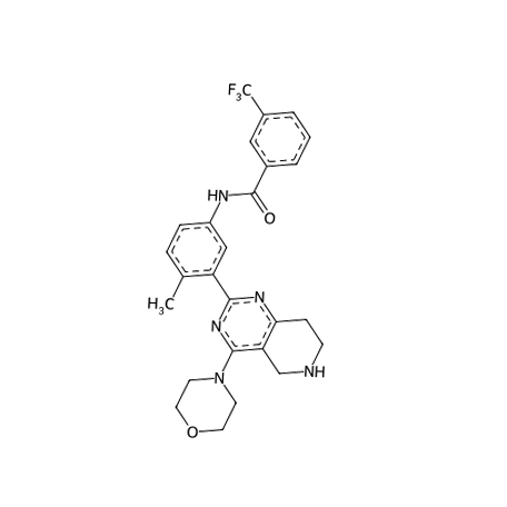 Cc1ccc(NC(=O)c2cccc(C(F)(F)F)c2)cc1-c1nc2c(c(N3CCOCC3)n1)CNCC2